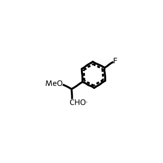 COC([C]=O)c1ccc(F)cc1